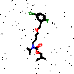 CC(C)COC(=O)N(CCCCOCc1cc(Cl)ccc1F)C(C)C